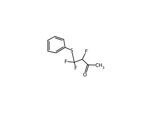 CC(=O)C(F)C(F)(F)Sc1ccccc1